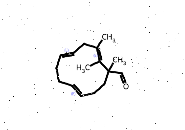 C/C1=C(/C)C(C)(C=O)CC/C=C/CC/C=C/C1